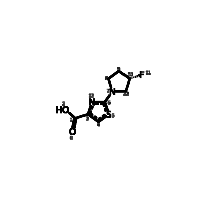 O=C(O)c1csc(N2CC[C@H](F)C2)n1